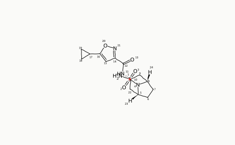 NS(=O)(=O)N1[C@@H]2CC[C@H]1C[C@@H](NC(=O)c1cc(C3CC3)on1)C2